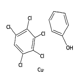 Clc1cc(Cl)c(Cl)c(Cl)c1Cl.Oc1ccccc1.[Cu]